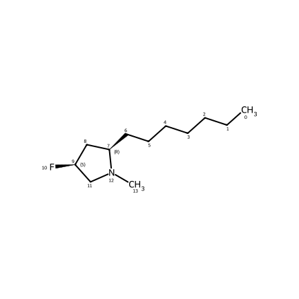 CCCCCCC[C@@H]1C[C@H](F)CN1C